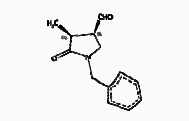 C[C@@H]1C(=O)N(Cc2ccccc2)C[C@@H]1C=O